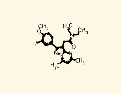 CCN(CC)C(=O)Cc1c(-c2ccc(OC)c(I)c2)nn2c(C)cc(C)nc12